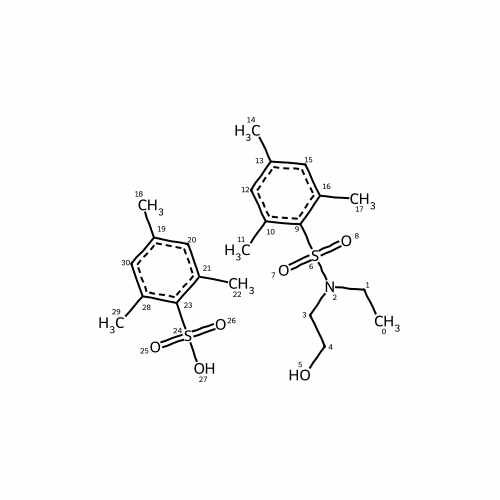 CCN(CCO)S(=O)(=O)c1c(C)cc(C)cc1C.Cc1cc(C)c(S(=O)(=O)O)c(C)c1